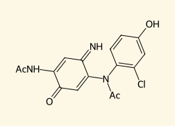 CC(=O)NC1=CC(=N)C(N(C(C)=O)c2ccc(O)cc2Cl)=CC1=O